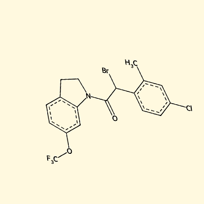 Cc1cc(Cl)ccc1C(Br)C(=O)N1CCc2ccc(OC(F)(F)F)cc21